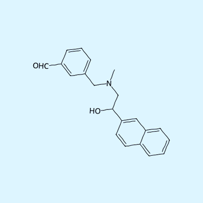 CN(Cc1cccc(C=O)c1)CC(O)c1ccc2ccccc2c1